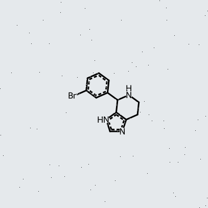 Brc1cccc(C2NCCc3nc[nH]c32)c1